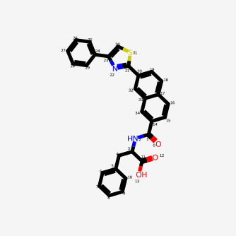 O=C(NC(Cc1ccccc1)C(=O)O)c1ccc2ccc(-c3nc(-c4ccccc4)cs3)cc2c1